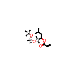 C=CC(=O)OC(CC(C)C)[Si](C)(C)O[SiH](C)O[Si](C)(C)C